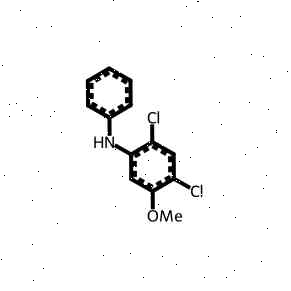 COc1cc(Nc2ccccc2)c(Cl)cc1Cl